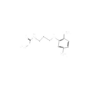 COc1ccc(N)cc1OCCCNC(=O)OC(C)(C)C